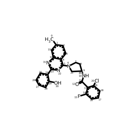 Cc1ccc2c(N3CC[C@@H](NC(=O)c4c(F)cccc4Cl)C3)nc(-c3ccccc3O)nc2c1